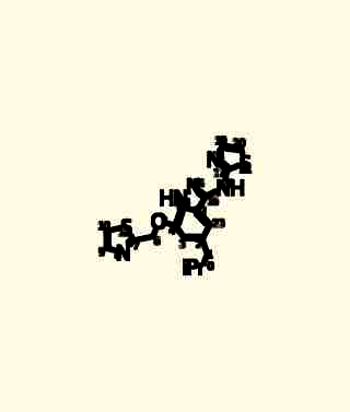 CC(C)Cc1cc(OCc2nccs2)c2[nH]nc(Nc3nccs3)c2c1